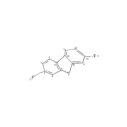 Fc1ccc2c(c1)[C]c1cc(F)ccc1-2